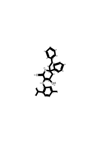 Cc1ccc(C(C)C)c(OC2=C(O)CC(CCc3ccccc3)(c3ccccc3)OC2=O)c1